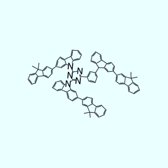 CC1(C)c2ccccc2-c2ccc(-c3ccc4c(c3)C(c3cccc(-c5nc(-n6c7ccccc7c7ccc(-c8ccc9c(c8)C(C)(C)c8ccccc8-9)cc76)nc(-n6c7ccccc7c7ccc(-c8ccc9c(c8)C(C)(C)c8ccccc8-9)cc76)n5)c3)c3ccccc3-4)cc21